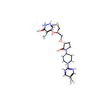 COC[C@@H](CO[C@@H]1CCN(C2CCN(c3ncc(C(F)(F)F)cn3)CC2)C1=O)Oc1cn[nH]c(=O)c1Br